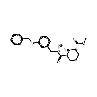 COC(=O)[C@@H]1CCCN(C(=O)[C@@H](N)Cc2cccc(OCc3ccccc3)c2)N1